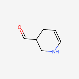 O=CC1CC=CNC1